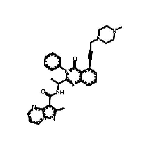 Cc1nn2cccnc2c1C(=O)NC(C)c1nc2cccc(C#CCN3CCN(C)CC3)c2c(=O)n1-c1ccccc1